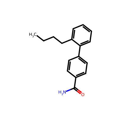 CCCCc1ccccc1-c1ccc(C(N)=O)cc1